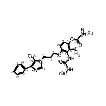 CCCCNC(=O)Nc1c(OCCCn2cnc(-c3ccccc3)c2CC)ccc(OC(=O)NCCCC)c1C